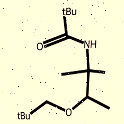 CC(OCC(C)(C)C)C(C)(C)NC(=O)C(C)(C)C